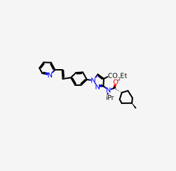 CCOC(=O)c1cn(-c2ccc(/C=C/c3ccccn3)cc2)nc1N(C(=O)[C@H]1CC[C@H](C)CC1)C(C)C